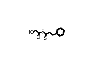 O=C(CO)SC(=S)CCc1ccccc1